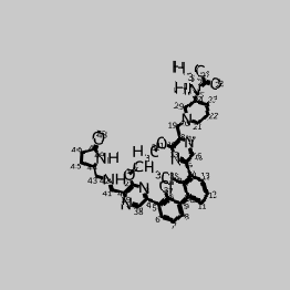 COc1nc(-c2cccc(-c3cccc(-c4cnc(CN5CCCC(NC(C)=O)C5)c(OC)n4)c3Cl)c2Cl)cnc1CNC[C@H]1CCC(=O)N1